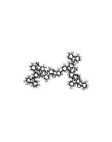 N#Cc1ccc(-n2c3ccccc3c3c4oc5ccc(-c6ccc7c8cc(-n9c%10ccccc%10c%10ccccc%109)ccc8n(-c8ccc(-n9c%10ccccc%10c%10c%11oc%12ccccc%12c%11ccc%109)c(C#N)c8C#N)c7c6)cc5c4ccc32)c(C#N)c1-n1c2ccccc2c2cc(-n3c4ccccc4c4ccccc43)ccc21